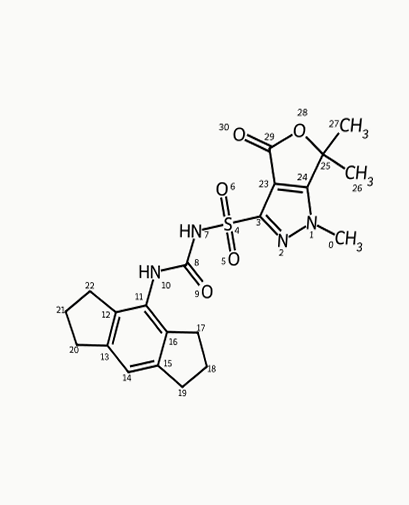 Cn1nc(S(=O)(=O)NC(=O)Nc2c3c(cc4c2CCC4)CCC3)c2c1C(C)(C)OC2=O